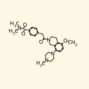 COc1ccc(N2CCN(C)CC2)c2c1CCN(C(=O)Cc1ccc(S(=O)(=O)N(C)C)cc1)C2